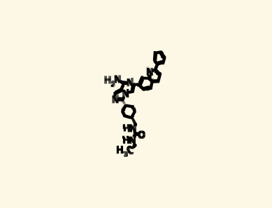 CCNC(=O)NC[C@H]1CC[C@H](c2ncc3c(N)nc(-c4ccc5ccc(-c6ccccc6)nc5c4)cn32)CC1